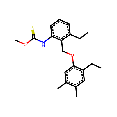 CCc1cc(C)c(C)cc1OCc1c(CC)cccc1NC(=S)OC